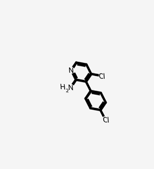 Nc1nccc(Cl)c1-c1ccc(Cl)cc1